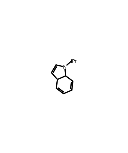 CC(C)N1C=CC2C=CC=CC21